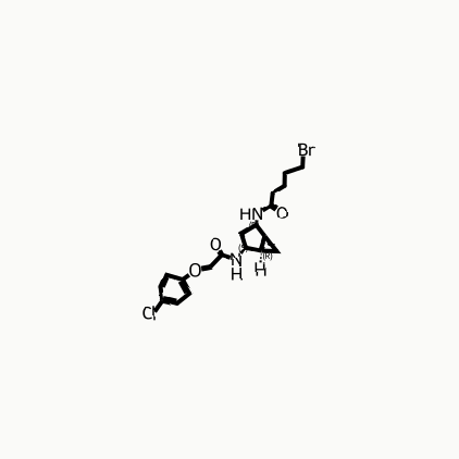 O=C(COc1ccc(Cl)cc1)N[C@H]1C[C@@H](NC(=O)CCCCBr)C2C[C@H]21